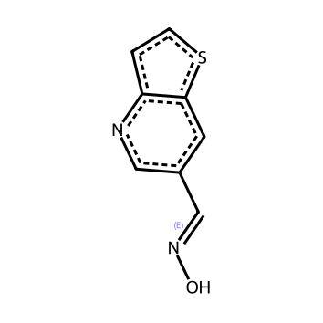 O/N=C/c1cnc2ccsc2c1